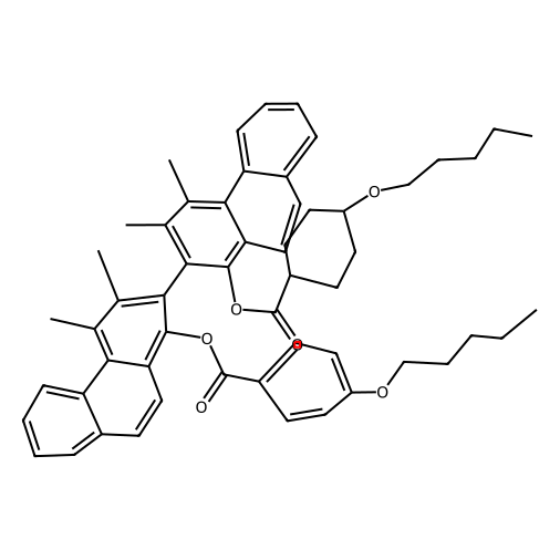 CCCCCOc1ccc(C(=O)Oc2c(-c3c(C)c(C)c4c(ccc5ccccc54)c3OC(=O)C3CCC(OCCCCC)CC3)c(C)c(C)c3c2ccc2ccccc23)cc1